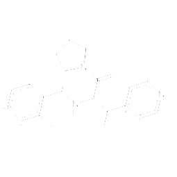 O=C(C(NCc1ccccc1I)C(O)c1ccncc1)N1CCCC1